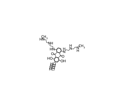 CNCCNCCNc1ccc(NCCNCCNC)c2c1C(=O)c1c(O)ccc(O)c1C2=O.Cl.Cl.Cl.Cl